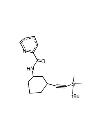 CC(C)(C)[Si](C)(C)C#CC1CCCC(NC(=O)c2ccccn2)C1